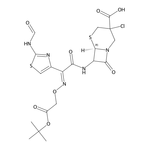 CC(C)(C)OC(=O)CON=C(C(=O)NC1C(=O)N2CC(Cl)(C(=O)O)CS[C@H]12)c1csc(NC=O)n1